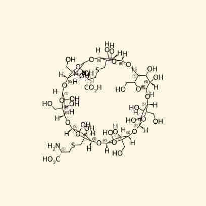 N[C@H](CSCC1O[C@H]2O[C@@H]3C(CO)O[C@H](O[C@@H]4C(CO)O[C@H](O[C@@H]5C(CO)O[C@H](O[C@@H]6C(CSC[C@@H](N)C(=O)O)O[C@H](O[C@@H]7C(CO)O[C@@H](O[C@@H]8C(CO)OC(O[C@H]1C(O)[C@@H]2O)C(O)[C@H]8O)C(O)[C@H]7O)C(O)[C@H]6O)C(O)[C@H]5O)[C@@H](O)C4O)[C@@H](O)C3O)C(=O)O